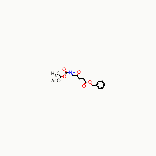 CC(=O)OC(C)OC(=O)NCC(=O)CCC(=O)OCc1ccccc1